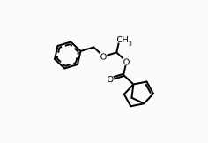 CC(OCc1ccccc1)OC(=O)C12C=CC(CC1)C2